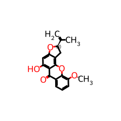 C=C(C)[C@H]1Cc2c(cc(O)c3c(=O)c4cccc(OC)c4oc23)O1